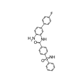 N=S(=O)(c1ccccc1)c1ccc(C(=O)Nc2cc(-c3ccc(F)cc3)ccc2N)cc1